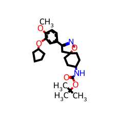 COc1ccc(C2=NOC3(CCC(NC(=O)OC(C)(C)C)CC3)C2)cc1OC1CCCC1